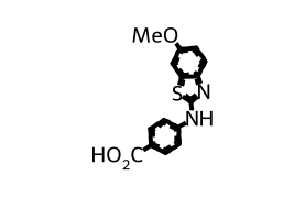 COc1ccc2nc(Nc3ccc(C(=O)O)cc3)sc2c1